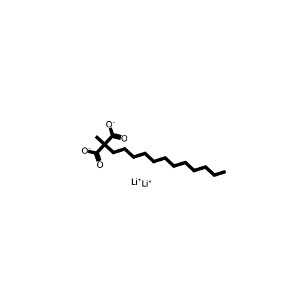 CCCCCCCCCCCCC(C)(C(=O)[O-])C(=O)[O-].[Li+].[Li+]